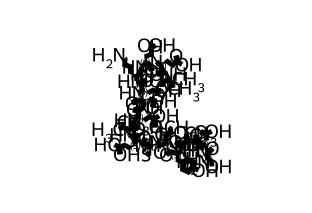 CC[C@H](C)[C@H](NC(=O)[C@H](Cc1ccc(O)cc1)NC(=O)[C@@H](NC(=O)[C@H](CC(=O)O)NC(=O)[C@@H](N)CO)[C@@H](C)O)C(=O)N[C@@H](CS)C(=O)N[C@@H](CCC(=O)O)C(=O)N[C@H](C(=O)N[C@@H](CCC(=O)O)C(=O)N[C@@H](CC(=O)O)C(=O)N[C@@H](CCC(=O)O)C(=O)N[C@@H](CCCCN)C(=O)N[C@@H](CCC(=O)O)C(=O)N[C@@H](CCC(=O)O)C(=O)N[C@H](C(=O)O)C(C)C)C(C)C